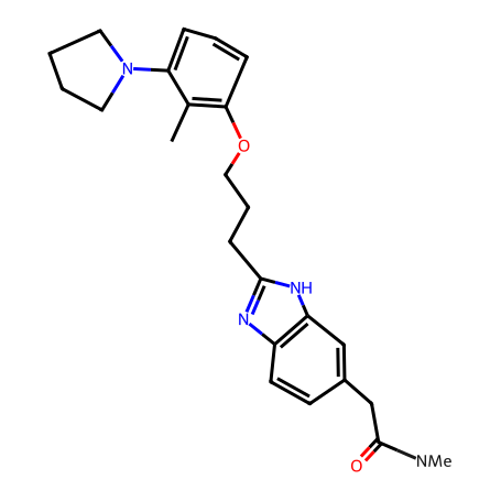 CNC(=O)Cc1ccc2nc(CCCOc3cccc(N4CCCC4)c3C)[nH]c2c1